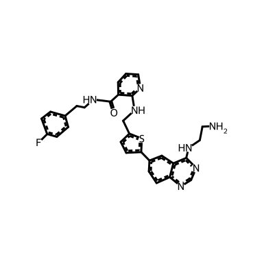 NCCNc1ncnc2ccc(-c3ccc(CNc4ncccc4C(=O)NCCc4ccc(F)cc4)s3)cc12